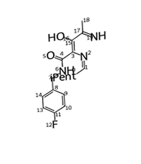 CCCC(C)/C=N\C(C(=O)NCc1ccc(F)cc1)=C(\O)C(C)=N